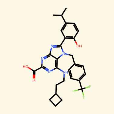 CC(C)c1ccc(O)c(-c2nc3nc(C(=O)O)nc(NCCC4CCC4)c3n2Cc2ccc(C(F)(F)F)cc2)c1